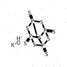 S=P12SP3(=S)SP(=S)(S1)SP(=S)(S2)S3.[K+].[OH-]